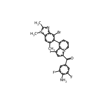 Cc1cc2c(nc(C)n2C)c(Br)c1-c1cccn2c(C(=O)c3cc(F)c(N)c(F)c3)cc(I)c12